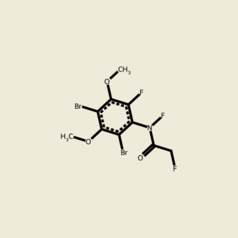 COc1c(F)c(N(F)C(=O)CF)c(Br)c(OC)c1Br